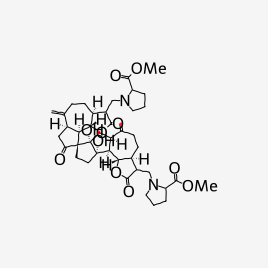 C=C1CC[C@H]2C(CN3CCCC3C(=O)OC)C(=O)O[C@@H]2[C@@H]2[C@H]1C[C@@]1(O)[C@]2(O)CC[C@]12C(=O)C[C@H]1C(=C)CC[C@H]3C(CN4CCCC4C(=O)OC)C(=O)O[C@@H]3[C@H]12